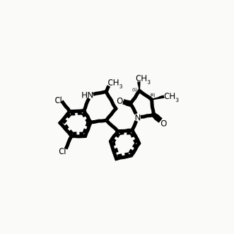 CC1CC(c2ccccc2N2C(=O)[C@@H](C)[C@@H](C)C2=O)c2cc(Cl)cc(Cl)c2N1